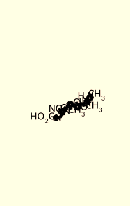 Cc1c(-c2nc3cc(CN4CC[C@H](C(=O)O)C4)cc(C#N)c3o2)cccc1-c1cccc(NC(=O)c2nc3c(n2C)CCN(C)C3)c1Cl